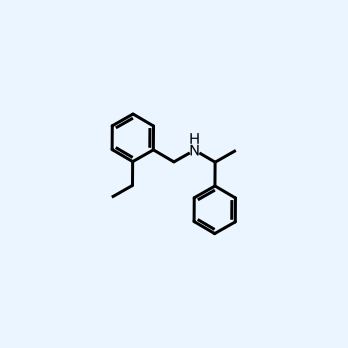 CCc1ccccc1CNC(C)c1ccccc1